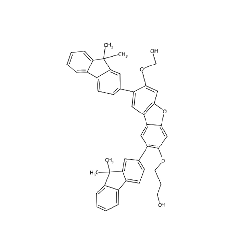 CC1(C)c2ccccc2-c2ccc(-c3cc4c(cc3OCO)oc3cc(OCCCO)c(-c5ccc6c(c5)C(C)(C)c5ccccc5-6)cc34)cc21